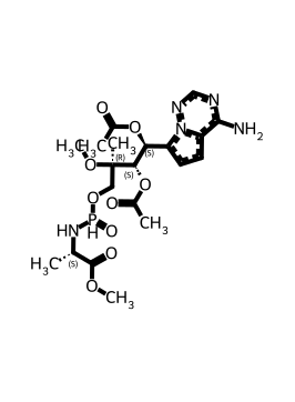 COC(=O)[C@H](C)N[PH](=O)OC[C@@](C)(OC)[C@@H](OC(C)=O)[C@@H](OC(C)=O)c1ccc2c(N)ncnn12